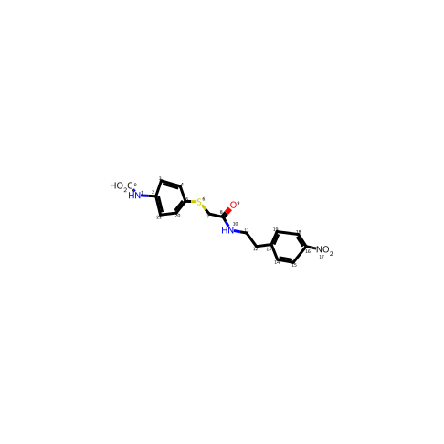 O=C(O)Nc1ccc(SCC(=O)NCCc2ccc([N+](=O)[O-])cc2)cc1